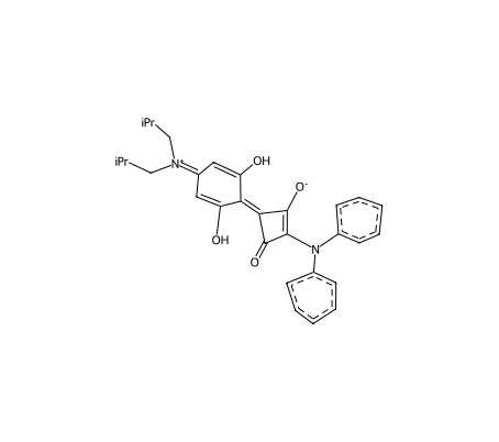 CC(C)C[N+](CC(C)C)=C1C=C(O)C(=C2C(=O)C(N(c3ccccc3)c3ccccc3)=C2[O-])C(O)=C1